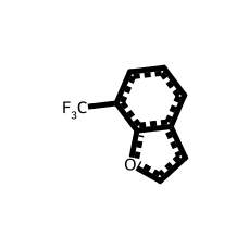 FC(F)(F)c1cccc2ccoc12